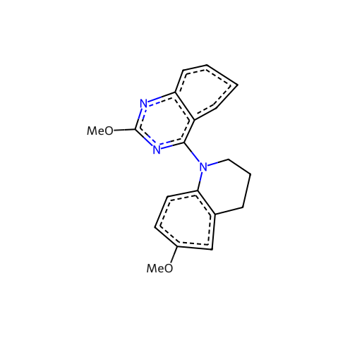 COc1ccc2c(c1)CCCN2c1nc(OC)nc2ccccc12